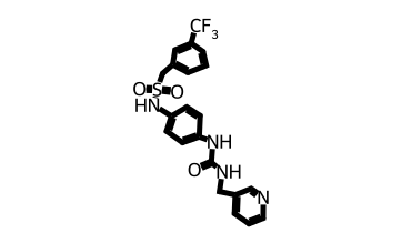 O=C(NCc1cccnc1)Nc1ccc(NS(=O)(=O)Cc2cccc(C(F)(F)F)c2)cc1